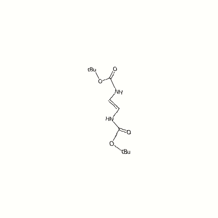 CC(C)(C)OC(=O)NC=CNC(=O)OC(C)(C)C